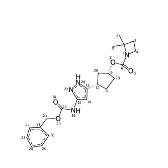 CC1(C)CCN1C(=O)O[C@@H]1CC[C@H](c2cc(NC(=O)OCc3ccccc3)n[nH]2)C1